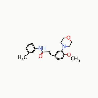 COc1ccc(/C=C/C(=O)Nc2cccc(C)c2)cc1N1CCOCC1